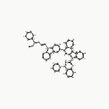 C=C/C(=C\C=C\n1c2ccccc2c2cc(-c3cc4c(c5ccccc35)c3ccccc3n4-c3nc(-c4ccccc4)c4ccccc4n3)ccc21)c1ccccc1